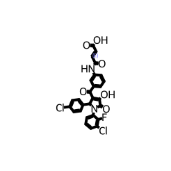 O=C(O)/C=C/C(=O)Nc1cccc(C(=O)C2=C(O)C(=O)N(c3cccc(Cl)c3F)C2c2ccc(Cl)cc2)c1